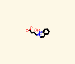 O=C([O-])C[C@H](O)C[n+]1ccc2ccccc2n1